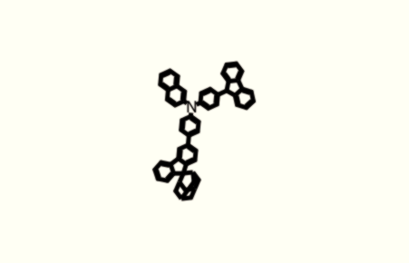 c1ccc2c(c1)-c1ccccc1C2c1ccc(N(c2ccc(-c3ccc4c(c3)-c3ccccc3C43C4CC5CC(C4)CC3C5)cc2)c2ccc3ccccc3c2)cc1